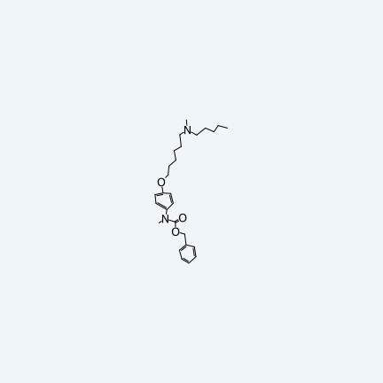 CCCCCN(C)CCCCCCOc1ccc(N(C)C(=O)OCc2ccccc2)cc1